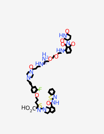 N/C(=C\NCCCC(=O)N1CCN(CC#Cc2ccc(OCCCc3sc(N4CCc5cccc(C(=O)Nc6nc7ccccc7s6)c5C4)nc3C(=O)O)c(F)c2)CC1)COCCOCCNc1cccc2c1C(=O)N(C1CCC(=O)NC1=O)C2=O